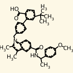 COc1ccc(C(C)NC(=O)c2ccc3c(c2)c(C)c(C)n3Cc2ccc(-c3cc(C(C)(C)C)ccc3C(=O)O)cc2)cc1